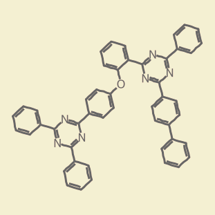 c1ccc(-c2ccc(-c3nc(-c4ccccc4)nc(-c4ccccc4Oc4ccc(-c5nc(-c6ccccc6)nc(-c6ccccc6)n5)cc4)n3)cc2)cc1